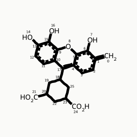 C=c1ccc2c(c1O)Oc1c(ccc(O)c1O)C=2C1CC(C(=O)O)CC(C(=O)O)C1